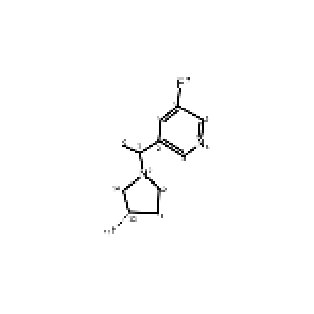 CC(c1cncc(F)c1)N1CC[C@H](F)C1